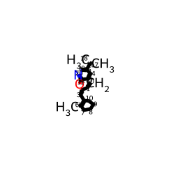 C=C/C(=C\C1=C(C)CCCC1)Oc1ccc(C(C)C)cn1